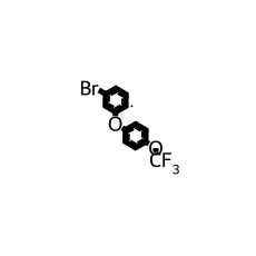 FC(F)(F)Oc1ccc(Oc2[c]ccc(Br)c2)cc1